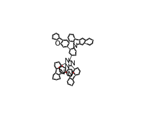 c1ccc(-n2c3ccccc3c3cccc(-c4nc(-c5ccc(-n6c7ccccc7c7cc8ccccc8cc76)c(-c6ccc7c(c6)oc6ccccc67)c5)nc(-c5cccc6c7ccccc7n(-c7ccccc7)c56)n4)c32)cc1